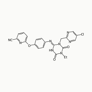 CCn1c(=O)[nH]/c(=N\c2ccc(Oc3cccc(C#N)n3)cc2)n(Cc2ncc(Cl)cn2)c1=O